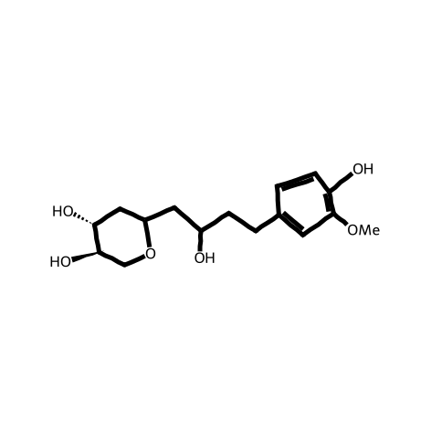 COc1cc(CCC(O)CC2C[C@@H](O)[C@H](O)CO2)ccc1O